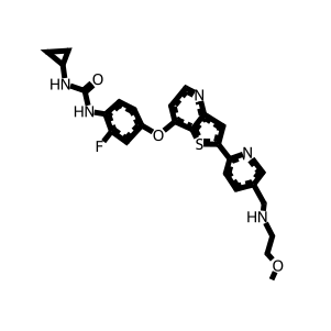 COCCNCc1ccc(-c2cc3nccc(Oc4ccc(NC(=O)NC5CC5)c(F)c4)c3s2)nc1